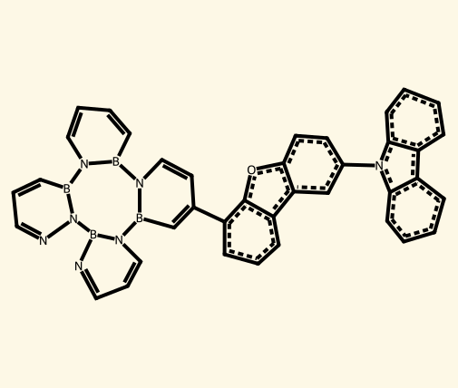 C1=CB2N3C=CC(c4cccc5c4oc4ccc(-n6c7ccccc7c7ccccc76)cc45)=CB3N3C=CC=NB3N3N=CC=CB3N2C=C1